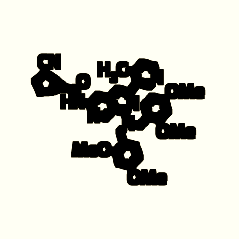 COc1ccc(CN(Cc2ccc(OC)cc2OC)c2nc(-c3cnccc3C)cc3cc(NC(=O)C4C5CCC(C#N)C54)ncc23)c(OC)c1